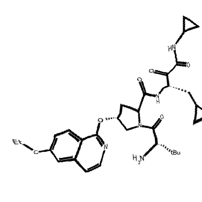 CCOc1ccc2c(O[C@@H]3CC(C(=O)N[C@@H](CC4CC4)C(=O)C(=O)NC4CC4)N(C(=O)[C@@H](N)C(C)(C)C)C3)nccc2c1